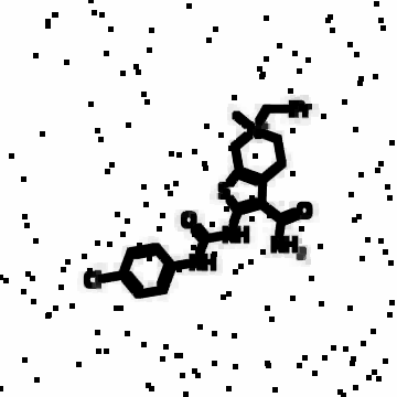 CC(C)C[N+]1(C)CCc2c(sc(NC(=O)Nc3ccc(Cl)cc3)c2C(N)=O)C1